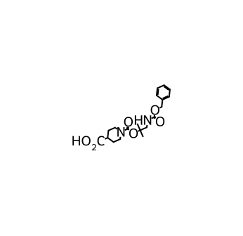 CC(C)(CNC(=O)OCc1ccccc1)OC(=O)N1CCC(C(=O)O)CC1